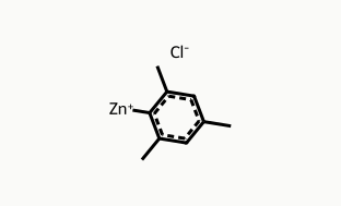 Cc1cc(C)[c]([Zn+])c(C)c1.[Cl-]